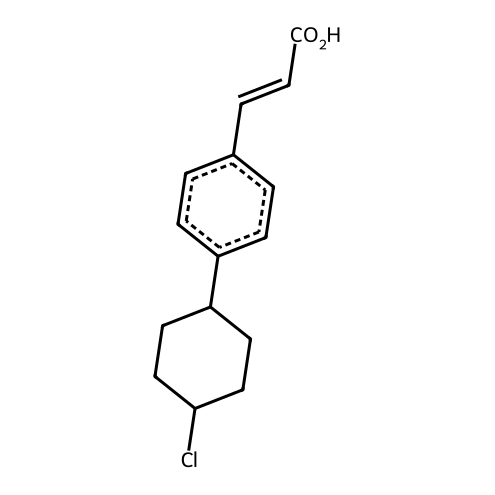 O=C(O)C=Cc1ccc(C2CCC(Cl)CC2)cc1